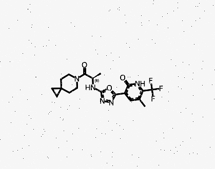 Cc1cc(-c2nnc(N[C@H](C)C(=O)N3CCC4(CC3)CC4)o2)c(=O)[nH]c1C(F)(F)F